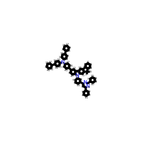 CC1(C)c2ccccc2-c2cc3c4cc(-c5ccc(N(c6ccc(-c7ccccc7)cc6)c6ccc(-c7ccccc7)cc6)cc5)ccc4n(-c4cccc(-c5cc(-c6ccccc6)nc(-c6ccccc6)n5)c4)c3cc21